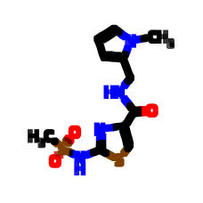 Cn1cccc1CNC(=O)c1csc(NS(C)(=O)=O)n1